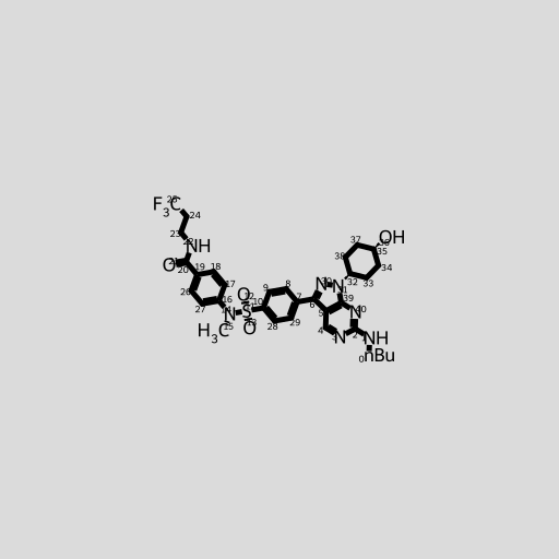 CCCCNc1ncc2c(-c3ccc(S(=O)(=O)N(C)c4ccc(C(=O)NCCC(F)(F)F)cc4)cc3)nn([C@H]3CC[C@@H](O)CC3)c2n1